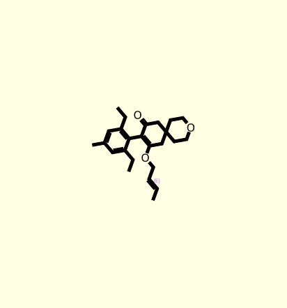 C/C=C/COC1=C(c2c(CC)cc(C)cc2CC)C(=O)CC2(CCOCC2)C1